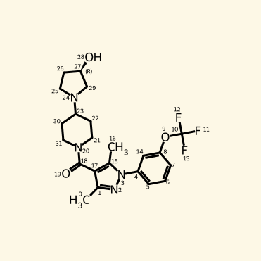 Cc1nn(-c2cccc(OC(F)(F)F)c2)c(C)c1C(=O)N1CCC(N2CC[C@@H](O)C2)CC1